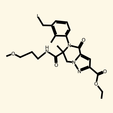 CCOC(=O)c1cc2n(n1)CC(C)(C(=O)NCCCOC)N(c1cccc(CI)c1C)C2=O